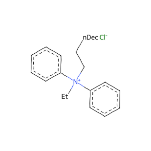 CCCCCCCCCCCC[N+](CC)(c1ccccc1)c1ccccc1.[Cl-]